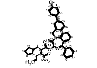 C=CC[C@H](C(N)=O)[C@@H](CC1CCCC1)C(=O)NC1N=C(c2ccccc2)c2ccccc2N(Cc2cccc(-c3ccc(C(F)(F)F)cc3)c2)C1=O